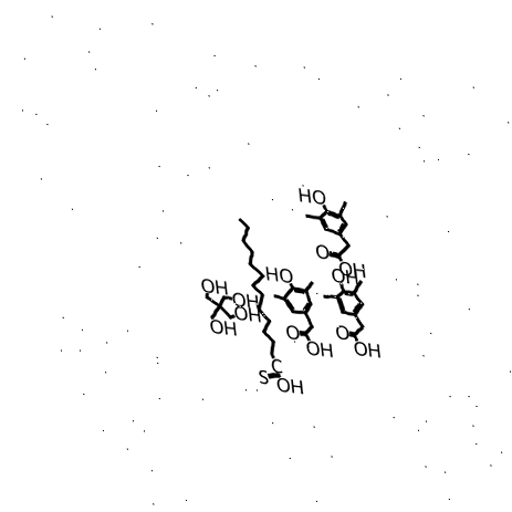 CCCCCCCCCCCCCCC(O)=S.Cc1cc(CC(=O)O)cc(C)c1O.Cc1cc(CC(=O)O)cc(C)c1O.Cc1cc(CC(=O)O)cc(C)c1O.OCC(CO)(CO)CO